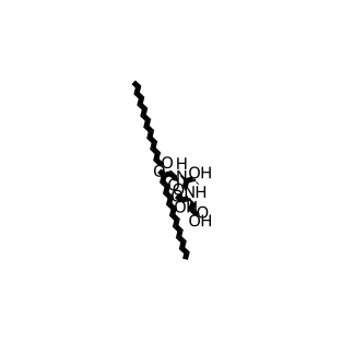 CCCCCCCCCCCCCCCC(=O)OC(CCCCCCCCCCCCCCC)CC(=O)N[C@H](C(=O)N[C@@H](CCC(=O)O)C(=O)O)[C@@H](C)O